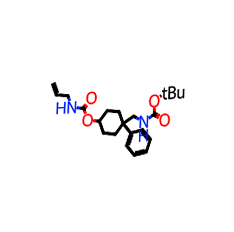 C=CCNC(=O)OC1CCC(CNC(=O)OC(C)(C)C)(c2ccccc2)CC1